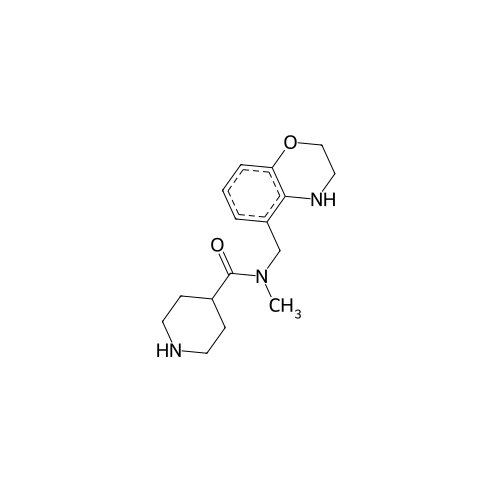 CN(Cc1cccc2c1NCCO2)C(=O)C1CCNCC1